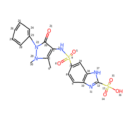 Cc1c(NS(=O)(=O)c2ccc3nc(S(=O)(=O)O)[nH]c3c2)c(=O)n(-c2ccccc2)n1C